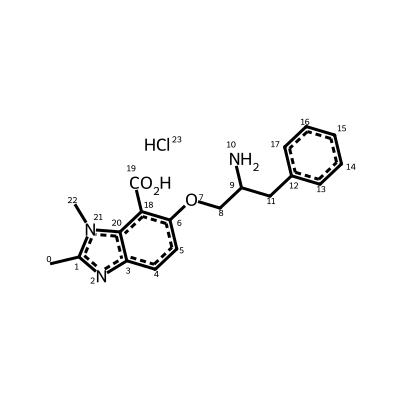 Cc1nc2ccc(OCC(N)Cc3ccccc3)c(C(=O)O)c2n1C.Cl